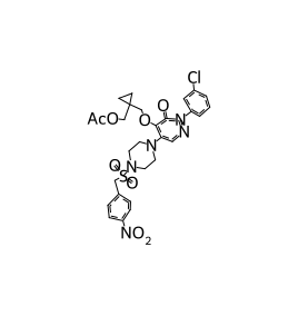 CC(=O)OCC1(COc2c(N3CCN(S(=O)(=O)Cc4ccc([N+](=O)[O-])cc4)CC3)cnn(-c3cccc(Cl)c3)c2=O)CC1